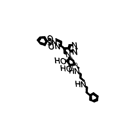 O=S(=O)(c1ccccc1)n1ccc(-c2cn([C@@H]3C[C@H](CNCCCNCCc4ccccc4)[C@@H](O)[C@H]3O)c3ncncc23)n1